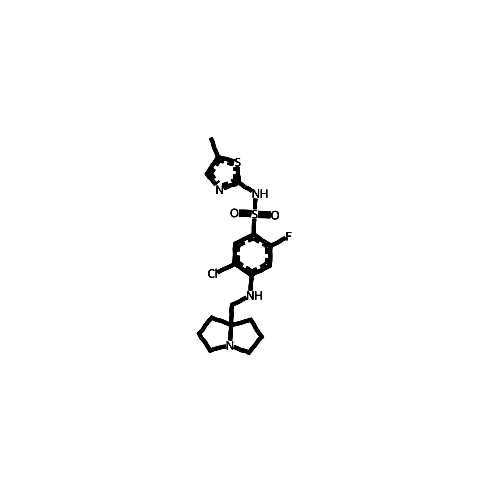 Cc1cnc(NS(=O)(=O)c2cc(Cl)c(NCC34CCCN3CCC4)cc2F)s1